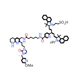 CCCN1/C(=C/C=C(/C=C/C2N(CCCS(=O)(=O)O)c3ccc4ccccc4c3C2(C)C)c2ccc(C(=O)NCCCCCC(=O)NCc3cc4c(nc3CCCN3CCN([C@@H](C)c5ccc(OC)nc5)C3=O)NCCC4)cn2)C(C)(C)c2c1ccc1ccccc21